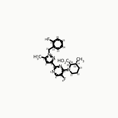 Cc1cc(-c2ncc(F)c(N3CCC[C@H](C)[C@@H]3C(=O)O)n2)nn1Cc1ccccc1F